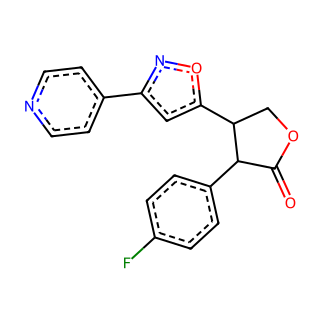 O=C1OCC(c2cc(-c3ccncc3)no2)C1c1ccc(F)cc1